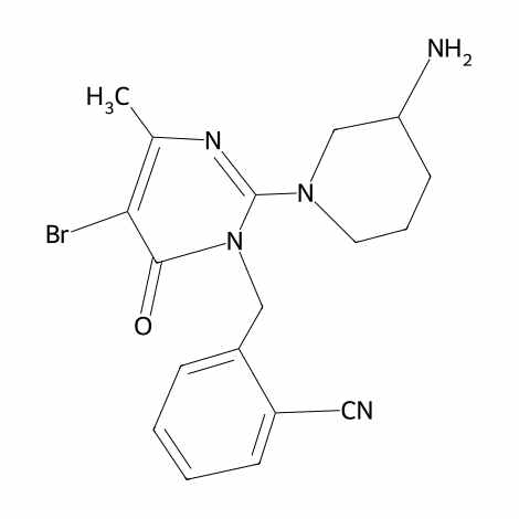 Cc1nc(N2CCCC(N)C2)n(Cc2ccccc2C#N)c(=O)c1Br